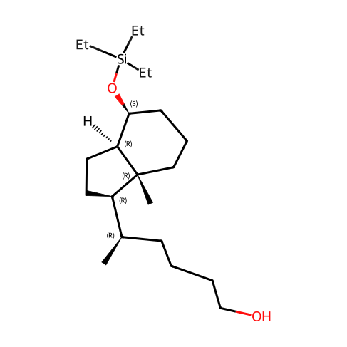 CC[Si](CC)(CC)O[C@H]1CCC[C@]2(C)[C@@H]([C@H](C)CCCCO)CC[C@@H]12